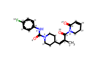 C/C(=C/C1CCN(C(=O)Nc2ccc(F)cc2)CC1)C(=O)N1CCC=CC1=O